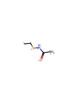 BC(=O)NSCC